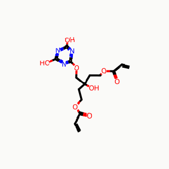 C=CC(=O)OCCC(O)(CCOC(=O)C=C)COc1nc(O)nc(O)n1